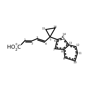 O=C(O)C=CC=CC1(c2cc3ccccc3s2)CC1